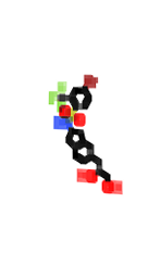 O=S(=O)(NC1Cc2ccc(CC(O)CO)cc2C1)c1ccc(Br)cc1C(F)(F)F